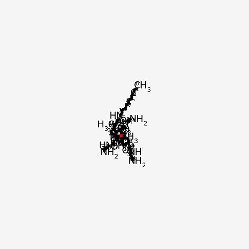 CCCCCCCCCCCCNC(=O)CC[C@@H](C)[C@H]1CC[C@H]2[C@@H]3[C@H](OC(=O)NCCN)C[C@@H]4C[C@H](OC(=O)NCCN)CC[C@]4(C)[C@H]3C[C@H](OC(=O)NCCN)[C@]12C